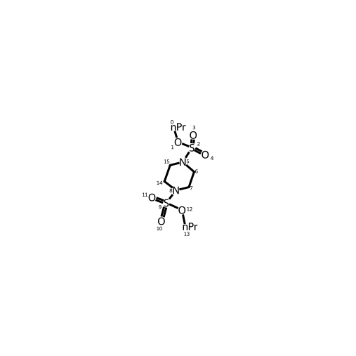 CCCOS(=O)(=O)N1CCN(S(=O)(=O)OCCC)CC1